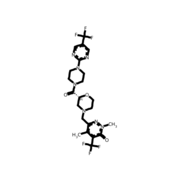 Cc1c(CN2CCO[C@@H](C(=O)N3CCN(c4ncc(C(F)(F)F)cn4)CC3)C2)nn(C)c(=O)c1C(F)(F)F